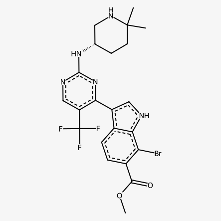 COC(=O)c1ccc2c(-c3nc(N[C@H]4CCC(C)(C)NC4)ncc3C(F)(F)F)c[nH]c2c1Br